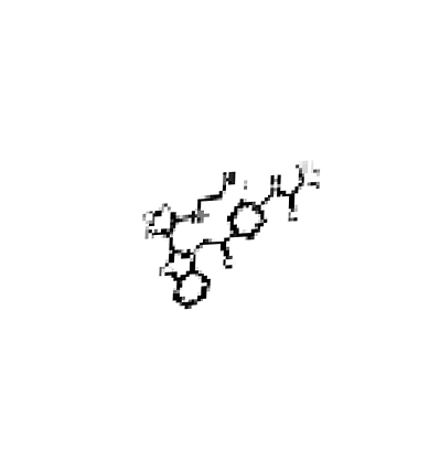 C[C@H](N)C(=O)Nc1ccc(C(=O)Cn2c(-c3nonc3NCCN)nc3ccccc32)cc1